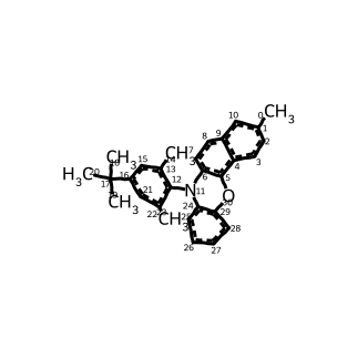 Cc1ccc2c3c(ccc2c1)N(c1c(C)cc(C(C)(C)C)cc1C)c1ccccc1O3